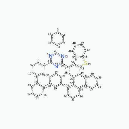 c1ccc(-c2nc(-c3cccc(-c4ccccc4-c4ccccc4)c3)nc(-c3cc4c5ccccc5c5ccccc5c4c4sc5ccccc5c34)n2)cc1